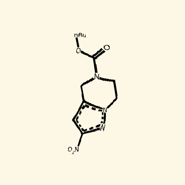 CCCCOC(=O)N1CCn2nc([N+](=O)[O-])cc2C1